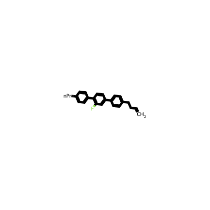 C=CCCc1ccc(-c2ccc(-c3ccc(CCC)cc3)c(F)c2)cc1